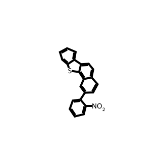 O=[N+]([O-])c1ccccc1-c1ccc2ccc3c4ccccc4sc3c2c1